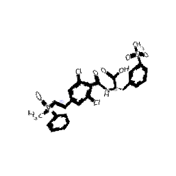 CP(=O)(/C=C/c1cc(Cl)c(C(=O)N[C@@H](Cc2cccc(S(C)(=O)=O)c2)C(=O)O)c(Cl)c1)c1ccccc1